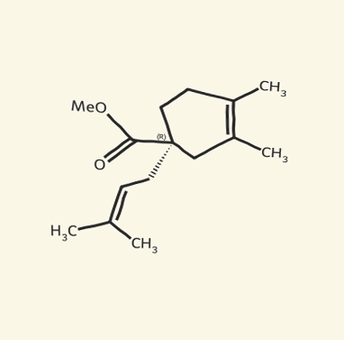 COC(=O)[C@@]1(CC=C(C)C)CCC(C)=C(C)C1